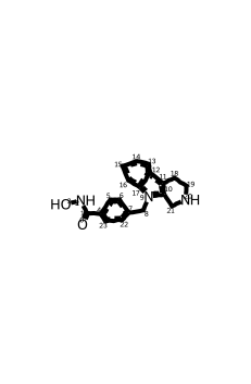 O=C(NO)c1ccc(Cn2c3c(c4ccccc42)CCNC3)cc1